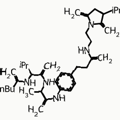 C=C(CCc1ccc(NC(=C)C(C)NC(=C)C(NC(=C)CCCC)C(C)C)cc1)NCCN1C(=C)CC(C(C)C)C1=C